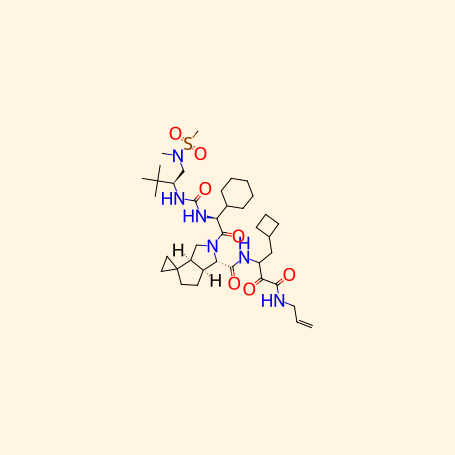 C=CCNC(=O)C(=O)C(CC1CCC1)NC(=O)[C@@H]1[C@H]2CCC3(CC3)[C@H]2CN1C(=O)[C@@H](NC(=O)N[C@H](CN(C)S(C)(=O)=O)C(C)(C)C)C1CCCCC1